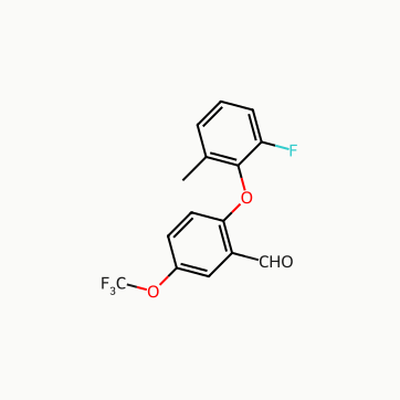 Cc1cccc(F)c1Oc1ccc(OC(F)(F)F)cc1C=O